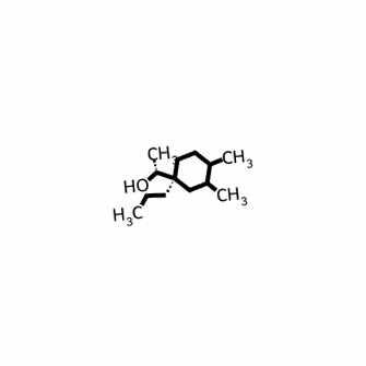 CCC[C@]1([C@@H](C)O)CCC(C)C(C)C1